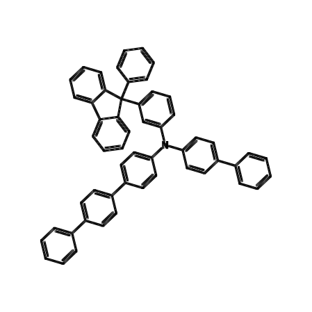 c1ccc(-c2ccc(-c3ccc(N(c4ccc(-c5ccccc5)cc4)c4cccc(C5(c6ccccc6)c6ccccc6-c6ccccc65)c4)cc3)cc2)cc1